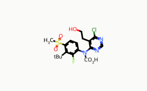 CC(C)(C)c1c(S(C)(=O)=O)ccc(N(C(=O)O)c2ncnc(Cl)c2CCO)c1F